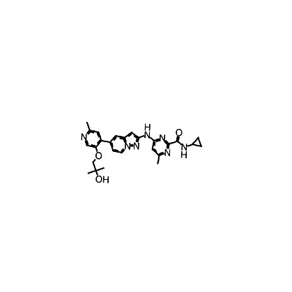 Cc1cc(-c2ccn3nc(Nc4cc(C)nc(C(=O)NC5CC5)n4)cc3c2)c(OCC(C)(C)O)cn1